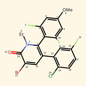 CCn1c(-c2c(F)cc(OC)cc2F)c(-c2cc(F)ccc2Cl)cc(Br)c1=O